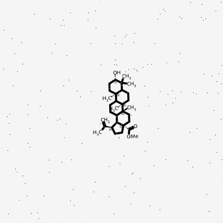 C=C(C)[C@@H]1CC[C@]2(C(=O)OC)CC[C@]3(C)C(CCC4[C@@]5(C)CC[C@H](O)C(C)(C)C5CC[C@]43C)C12